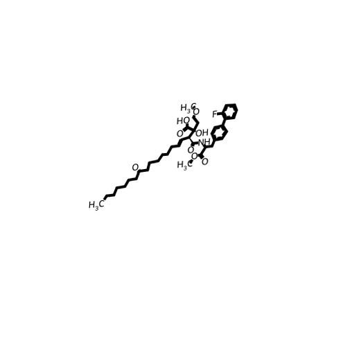 CCCCCCCC(=O)CCCCCC/C=C/[C@H](C(=O)NC(Cc1ccc(-c2ccccc2F)cc1)C(=O)OC)[C@@](O)(CCOC)C(=O)O